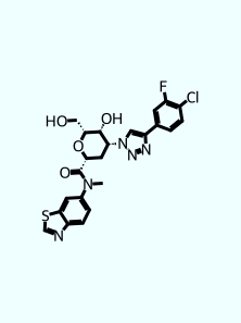 CN(C(=O)[C@H]1C[C@@H](n2cc(-c3ccc(Cl)c(F)c3)nn2)[C@@H](O)[C@@H](CO)O1)c1ccc2ncsc2c1